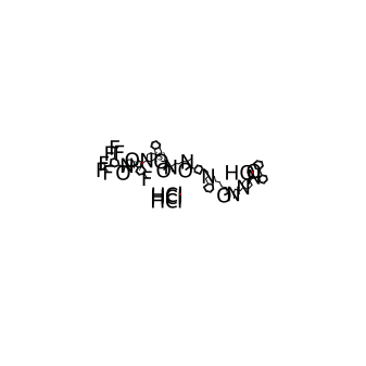 CN(CCN1CCC(N(C(=O)O)c2ccccc2-c2ccccc2)CC1)C(=O)CCCCCN(Cc1ccccc1)Cc1ccc(C(=O)N(C)CCCN(C)C(=O)CO[C@H]2Cc3ccccc3C23CCN(CC[C@@]2(c4ccc(F)cc4)CN(C(=O)c4cc(C(F)(F)F)cc(C(F)(F)F)c4)CO2)CC3)cc1.Cl.Cl.Cl